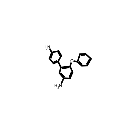 Nc1ccc(-c2cc(N)ccc2Oc2ccccc2)cc1